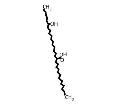 CCCCCCCCCCCCCCC(CCCCCCCCCCCC(O)CCCCCC)C(=O)O